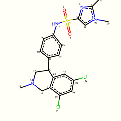 Cc1nc(S(=O)(=O)Nc2ccc(C3CN(C)Cc4c(Cl)cc(Cl)cc43)cc2)cn1C